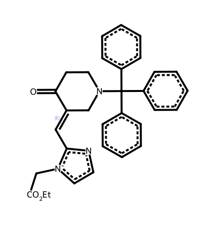 CCOC(=O)Cn1ccnc1/C=C1\CN(C(c2ccccc2)(c2ccccc2)c2ccccc2)CCC1=O